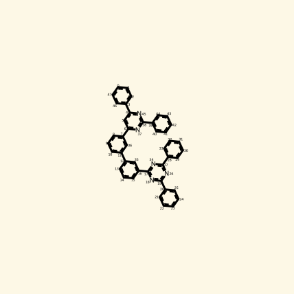 c1ccc(-c2cc(-c3cccc(-c4cccc(-c5nc(-c6ccccc6)nc(-c6ccccc6)n5)c4)c3)nc(-c3ccccc3)n2)cc1